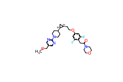 COCc1cnc(N2CCC([C@H]3C[C@H]3CCOc3cc(F)c(CC(=O)N4CCOCC4)c(F)c3)CC2)nc1